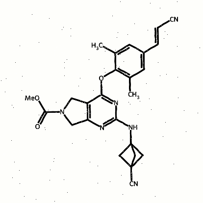 COC(=O)N1Cc2nc(NC34CC(C#N)(C3)C4)nc(Oc3c(C)cc(/C=C/C#N)cc3C)c2C1